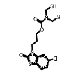 O=C(OCCCn1c(=O)sc2ccc(Cl)cc21)N(CS)CS